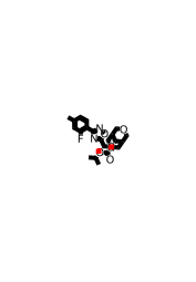 Cc1ccc(-c2noc([C@@H](C)OC3C4COCC3CN(C(=O)OC(C)C)C4)n2)c(F)c1